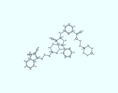 O=C(OCCN1CCOCC1)c1cccc(CN2CN(c3ccccc3)C3(CCN(CCCn4c(=O)[nH]c5ccccc54)CC3)C2=O)c1